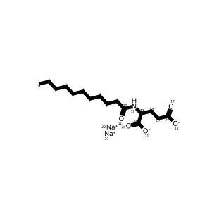 CCCCCCCCCCC(=O)NC(CCC(=O)[O-])C(=O)[O-].[Na+].[Na+]